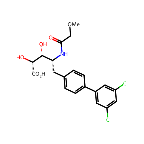 COCC(=O)N[C@H](Cc1ccc(-c2cc(Cl)cc(Cl)c2)cc1)[C@@H](O)[C@@H](O)C(=O)O